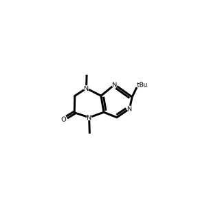 CN1CC(=O)N(C)c2cnc(C(C)(C)C)nc21